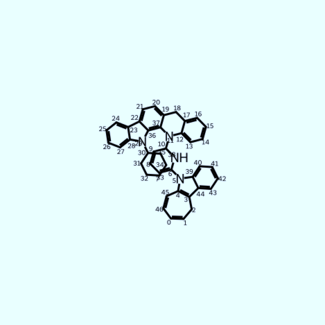 C1=CCc2c(n(C3=CC=CC(N4c5ccccc5Cc5ccc6c7ccccc7n(C7CCCCC7)c6c54)N3)c3ccccc23)C=C1